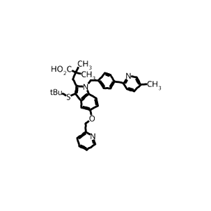 Cc1ccc(-c2ccc(Cn3c(CC(C)(C)C(=O)O)c(SC(C)(C)C)c4cc(OCc5ccccn5)ccc43)cc2)nc1